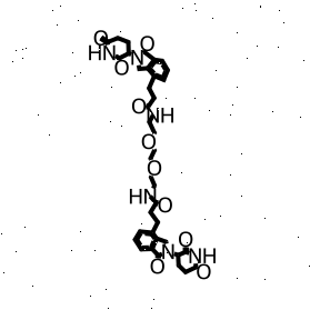 O=C(CCc1cccc2c1CN(C1CCC(=O)NC1=O)C2=O)NCCOCCOCCNC(=O)CCc1cccc2c1CN(C1CCC(=O)NC1=O)C2=O